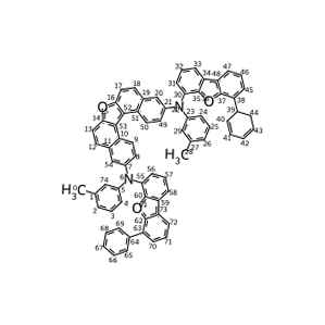 Cc1cccc(N(c2ccc3c(ccc4oc5ccc6cc(N(c7cccc(C)c7)c7cccc8c7oc7c(C9C=CC=CC9)cccc78)ccc6c5c43)c2)c2cccc3c2oc2c(-c4ccccc4)cccc23)c1